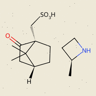 CC1(C)[C@@H]2CC[C@]1(CS(=O)(=O)O)C(=O)C2.C[C@H]1CCN1